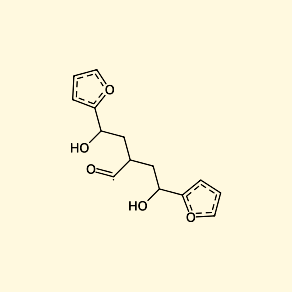 O=[C]C(CC(O)c1ccco1)CC(O)c1ccco1